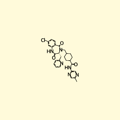 Cc1cnc(NC(=O)C2CCC(CN3C(=O)c4ccc(Cl)cc4NC(=O)[C@H]3Cc3ccccn3)CC2)cn1